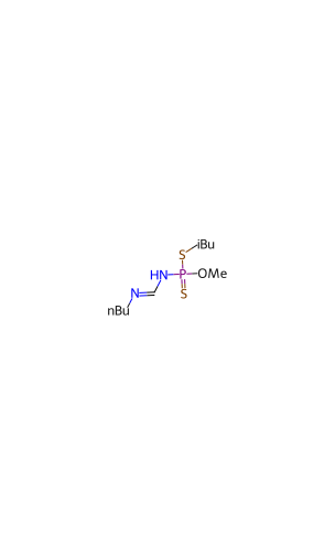 CCCCN=CNP(=S)(OC)SC(C)CC